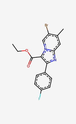 CCOC(=O)c1c(-c2ccc(F)cc2)nc2cc(C)c(Br)cn12